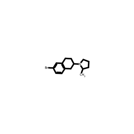 CC1CCCN1C1CCc2cc(Br)ccc2C1